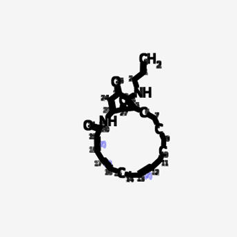 C=CCNC1=C2CCCCCC/C=C\[CH]C/C=C\C=C/C(=O)NC(=CC1=O)C2=O